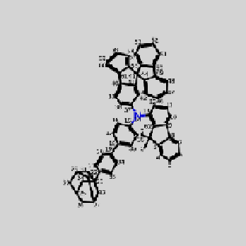 CC1(C)c2ccccc2-c2cccc(N(c3ccc(-c4ccc(C56CC7CC(CC(C7)C5)C6)cc4)cc3)c3ccc4c(c3)C3(c5ccccc5-c5ccccc53)c3ccccc3-4)c21